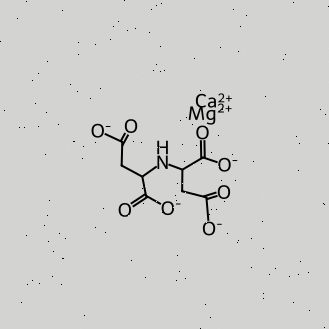 O=C([O-])CC(NC(CC(=O)[O-])C(=O)[O-])C(=O)[O-].[Ca+2].[Mg+2]